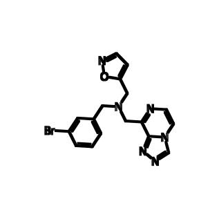 Brc1cccc(CN(Cc2ccno2)Cc2nccn3cnnc23)c1